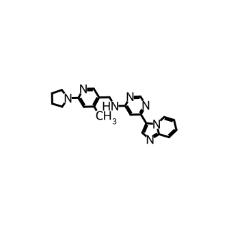 Cc1cc(N2CCCC2)ncc1CNc1cc(-c2cnc3ccccn23)ncn1